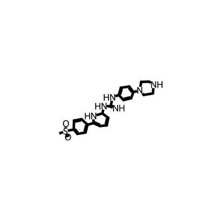 CS(=O)(=O)c1ccc(C2=CC=CC(NC(=N)Nc3ccc(N4CCNCC4)cc3)N2)cc1